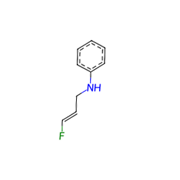 FC=CCNc1ccccc1